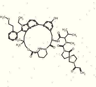 C=CC(=O)N1CC[C@]2(CCN(C(=O)N(C)C(C(=O)N[C@@H]3Cc4cc(O)cc(c4)-c4ccc5c(c4)c(c(-c4ccccc4CCOC)n5CC)CC(C)(C)COC(=O)[C@@H]4CCCN(N4)C3=O)C(C)C)C2=O)C1